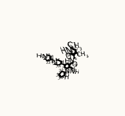 Cc1cc(C)c(CNC(=O)c2cc(C3CCN(C4CCNCC4)CC3)cc(NC3CCCC3)c2C=N)c(=O)[nH]1